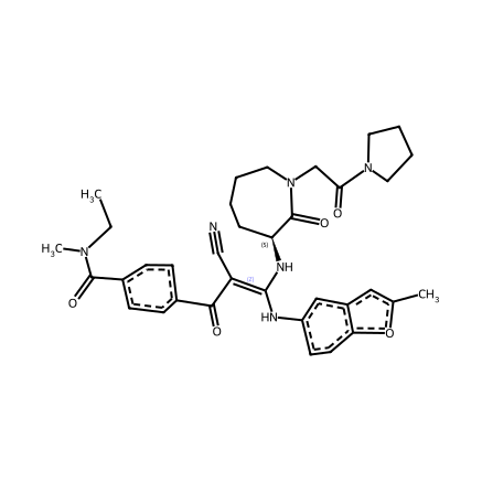 CCN(C)C(=O)c1ccc(C(=O)/C(C#N)=C(\Nc2ccc3oc(C)cc3c2)N[C@H]2CCCCN(CC(=O)N3CCCC3)C2=O)cc1